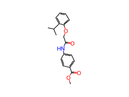 COC(=O)c1ccc(NC(=O)COc2ccccc2C(C)C)cc1